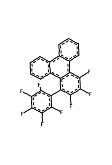 Fc1c(F)c(F)c(-c2c(F)c(F)c(F)c3c4ccccc4c4ccccc4c23)c(F)c1F